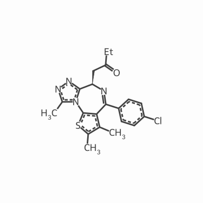 CCC(=O)C[C@H]1N=C(c2ccc(Cl)cc2)c2c(sc(C)c2C)-n2c(C)nnc21